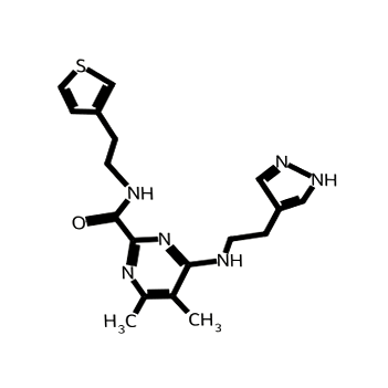 Cc1nc(C(=O)NCCc2ccsc2)nc(NCCc2cn[nH]c2)c1C